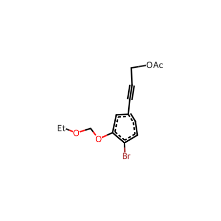 CCOCOc1cc(C#CCOC(C)=O)ccc1Br